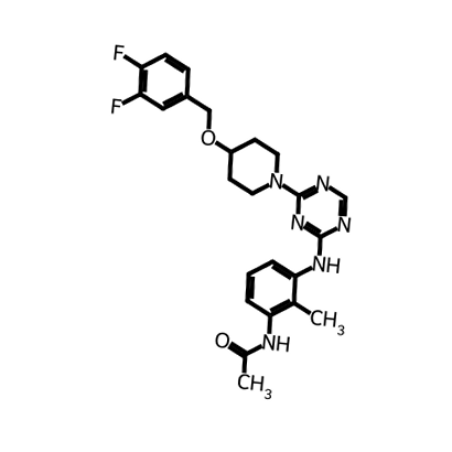 CC(=O)Nc1cccc(Nc2ncnc(N3CCC(OCc4ccc(F)c(F)c4)CC3)n2)c1C